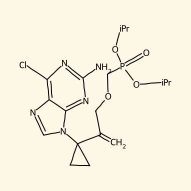 C=C(COCP(=O)(OC(C)C)OC(C)C)C1(n2cnc3c(Cl)nc(N)nc32)CC1